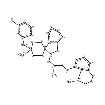 C[C@@H](COc1ccnc2c1[C@@H](C)CCC2)C[C@H]1Cc2ccccc2C12CCC(Nc1cccc(Cl)c1)(C(=O)O)CC2